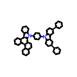 c1ccc(-c2ccc3c(c2)c2cc(-c4ccccc4)ccc2n3-c2ccc(-n3c4ccccc4c4c5ccccc5c5c6ccccc6ccc5c43)cc2)cc1